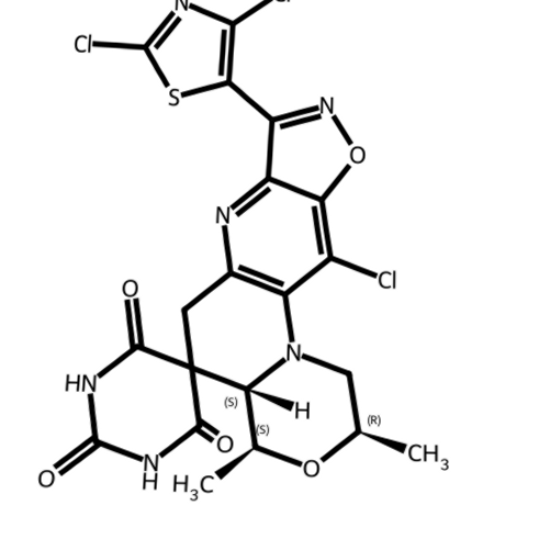 C[C@@H]1CN2c3c(nc4c(-c5sc(Cl)nc5Cl)noc4c3Cl)CC3(C(=O)NC(=O)NC3=O)[C@H]2[C@H](C)O1